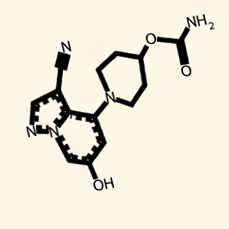 N#Cc1cnn2cc(O)cc(N3CCC(OC(N)=O)CC3)c12